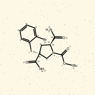 CC(C)(C)OC(=O)N1C[C@@](Sc2ccccc2Br)(C(N)=O)C[C@H]1C(N)=O